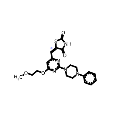 COCCOc1cc(/C=C2/SC(=O)NC2=O)nc(N2CCN(c3ccccc3)CC2)n1